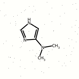 CN(C)c1c[nH][c]n1